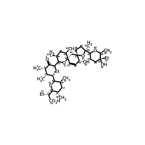 CCC(C(=O)[C@@H](C)[C@@H](C)CC1OC([C@@H](CC)C(=O)O)[C@@H](C)C[C@@H]1C)C1O[C@]2(C=C[C@@H](O)[C@]3(CC[C@@](C)(C4CC[C@](O)(CC)[C@H](C)O4)O3)C2)[C@H](C)C[C@@H]1C